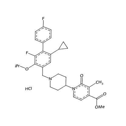 COC(=O)c1ccn(C2CCN(Cc3cc(C4CC4)c(-c4ccc(F)cc4)c(F)c3OC(C)C)CC2)c(=O)c1C.Cl